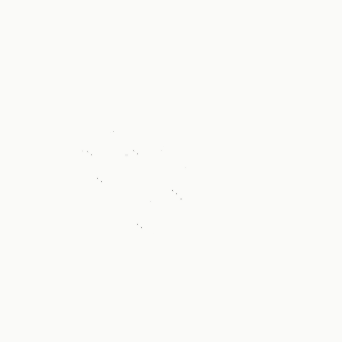 COc1ccc2c(c1)nc(N)c1nncn12